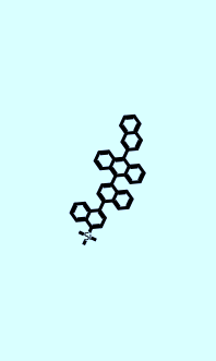 C[Si](C)(C)c1ccc(-c2ccc(-c3c4ccccc4c(-c4ccc5ccccc5c4)c4ccccc34)c3ccccc23)c2ccccc12